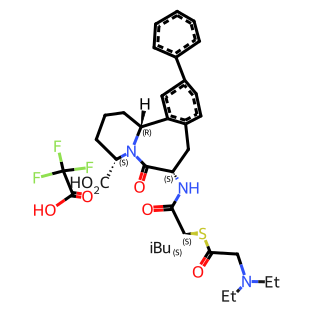 CC[C@H](C)[C@H](SC(=O)CN(CC)CC)C(=O)N[C@H]1Cc2ccc(-c3ccccc3)cc2[C@H]2CCC[C@@H](C(=O)O)N2C1=O.O=C(O)C(F)(F)F